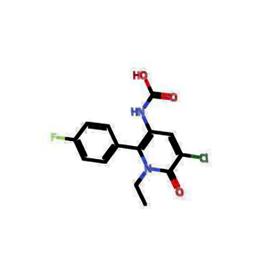 CCn1c(-c2ccc(F)cc2)c(NC(=O)O)cc(Cl)c1=O